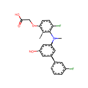 Cc1c(OCC(=O)O)ccc(F)c1N(C)c1cc(O)cc(-c2cccc(F)c2)c1